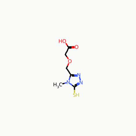 Cn1c(S)nnc1COCC(=O)O